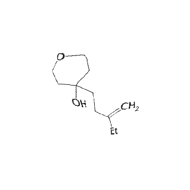 C=C(CC)CCC1(O)CCOCC1